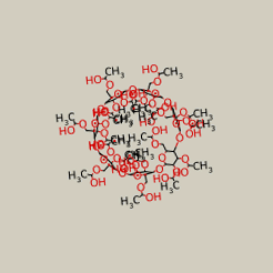 CC(O)OCC1OC2OC3C(COC(C)O)OC(OC4C(COC(C)O)OC(OC5C(COC(C)O)OC(OC6C(COC(C)O)OC(OC7C(COC(C)O)OC(OC8C(COC(C)O)OC(OC1C(OC(C)O)C2OC(C)O)C(OC(C)O)C8OC(C)O)C(OC(C)O)C7OC(C)O)C(OC(C)O)C6OC(C)O)C(OC(C)O)C5OC(C)O)C(OC(C)O)C4OC(C)O)C(OC(C)O)C3OC(C)O